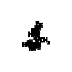 C[C@@H]1C[C@H](NS(=O)(=O)N2CC(F)(F)C2)C[C@@H]1c1ncc2cnc3[nH]ccc3n12